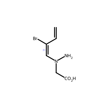 C=C/C(Br)=C\N(N)CC(=O)O